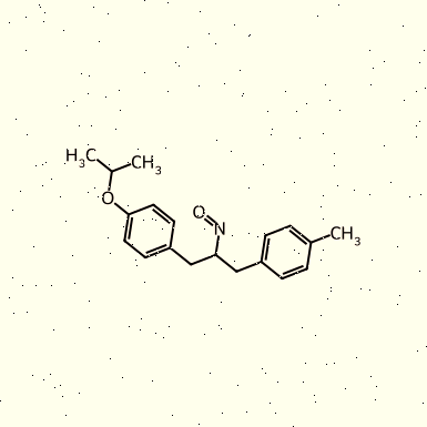 Cc1ccc(CC(Cc2ccc(OC(C)C)cc2)N=O)cc1